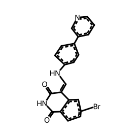 O=C1NC(=O)c2ccc(Br)cc2/C1=C/Nc1ccc(-c2cccnc2)cc1